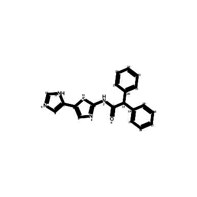 O=C(Nc1ncc(-c2cnc[nH]2)s1)C(c1ccccc1)c1ccccc1